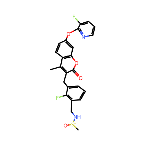 Cc1c(Cc2cccc(CN[S+](C)[O-])c2F)c(=O)oc2cc(Oc3ncccc3F)ccc12